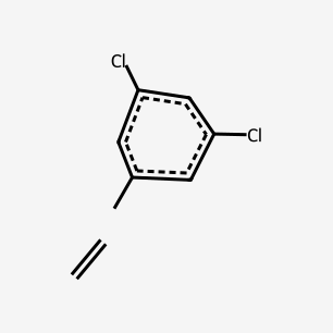 C=C.Cc1cc(Cl)cc(Cl)c1